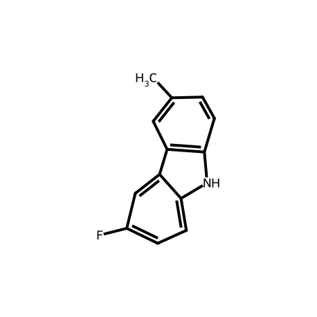 Cc1ccc2[nH]c3ccc(F)cc3c2c1